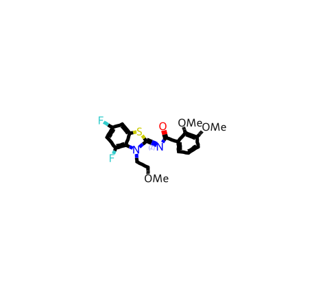 COCCn1/c(=N/C(=O)c2cccc(OC)c2OC)sc2cc(F)cc(F)c21